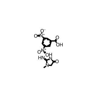 CN1CC(=O)NC1=N.O=C(O)c1cc([N+](=O)[O-])cc([N+](=O)[O-])c1